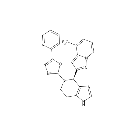 FC(F)(F)c1cccn2nc([C@H]3c4nc[nH]c4CCN3c3nnc(-c4ccccn4)o3)cc12